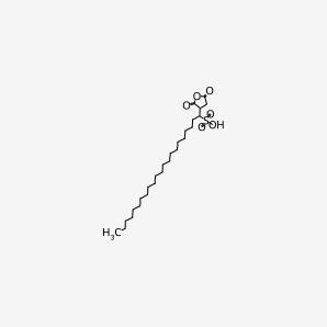 CCCCCCCCCCCCCCCCCCCCCC(C1CC(=O)OC1=O)S(=O)(=O)O